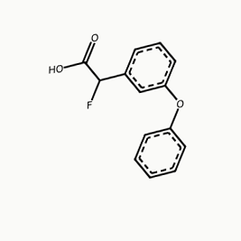 O=C(O)C(F)c1cccc(Oc2ccccc2)c1